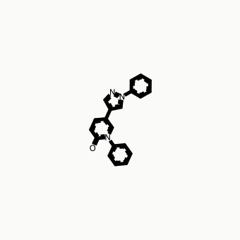 O=c1ccc(-c2cnn(-c3ccccc3)c2)cn1-c1ccccc1